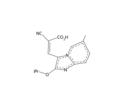 Cc1ccc2nc(OC(C)C)c(C=C(C#N)C(=O)O)n2c1